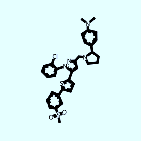 CN(C)c1ccc(C2CCCN2Cc2cc(-c3ccc(-c4cccc(S(C)(=O)=O)c4)s3)n(-c3ccccc3Cl)n2)cc1